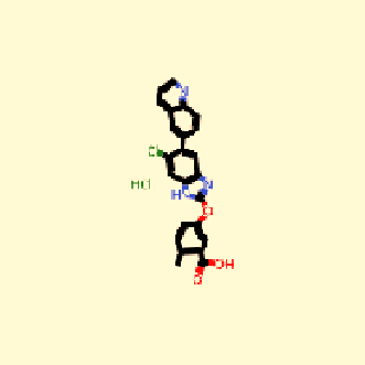 Cc1ccc(Oc2nc3cc(-c4ccc5ncccc5c4)c(Cl)cc3[nH]2)cc1C(=O)O.Cl